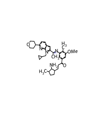 COc1cc(C(=O)CCC2CCC(C)C2N)cc(/N=C(\C)c2cc3ccc(C4CCOCC4)nc3n2CC2CC2)c1C